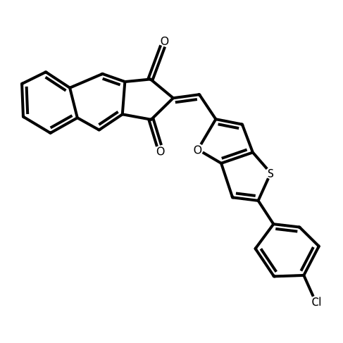 O=C1C(=Cc2cc3sc(-c4ccc(Cl)cc4)cc3o2)C(=O)c2cc3ccccc3cc21